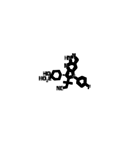 CC(C)(CC#N)c1c([C@H]2CC[C@](O)(C(=O)O)CC2)c2nc3[nH]ncc3cc2n1-c1ccc(F)cc1